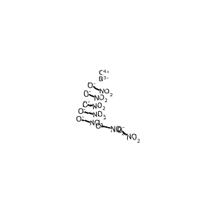 O=[N+]([O-])[O-].O=[N+]([O-])[O-].O=[N+]([O-])[O-].O=[N+]([O-])[O-].O=[N+]([O-])[O-].O=[N+]([O-])[O-].O=[N+]([O-])[O-].[B+3].[C+4]